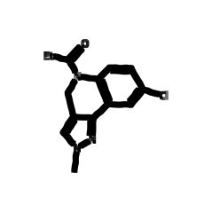 CCC(=O)N1Cc2cn(C)nc2-c2cc(Cl)ccc21